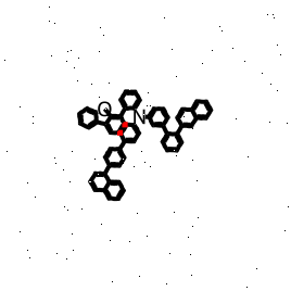 c1cc(-c2ccccc2-c2ccc3ccccc3c2)cc(N(c2ccc(-c3ccc(-c4cccc5ccccc45)cc3)cc2)c2ccccc2-c2cccc3c2oc2ccccc23)c1